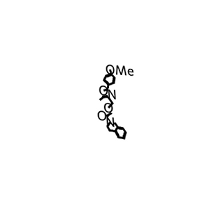 COc1ccc(-c2nc(COCC(=O)N3CCc4ccccc4C3)c(C)o2)cc1